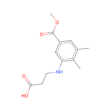 COC(=O)c1cc(C)c(C)c(NCCC(=O)O)c1